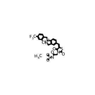 C.O=C(CN1C(=O)SC(=Cc2ccc3c(cnn3Cc3ccc(C(F)(F)F)cc3C(F)(F)F)c2)C1=O)N=S(=O)=O